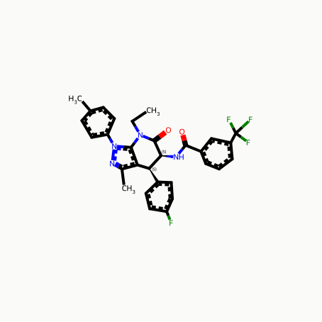 CCN1C(=O)[C@@H](NC(=O)c2cccc(C(F)(F)F)c2)[C@@H](c2ccc(F)cc2)c2c(C)nn(-c3ccc(C)cc3)c21